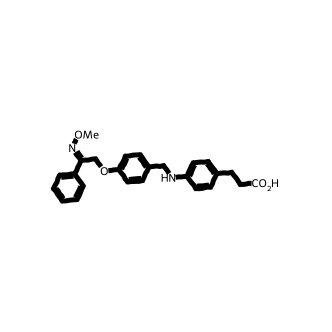 CO/N=C(\COc1ccc(CNc2ccc(CCC(=O)O)cc2)cc1)c1ccccc1